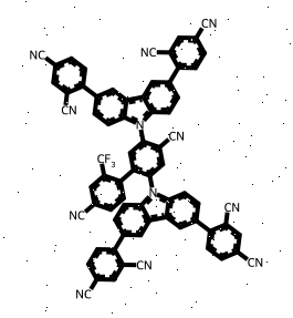 N#Cc1ccc(-c2ccc3c(c2)c2cc(-c4ccc(C#N)cc4C#N)ccc2n3-c2cc(-c3ccc(C#N)cc3C(F)(F)F)c(-n3c4ccc(-c5ccc(C#N)cc5C#N)cc4c4cc(-c5ccc(C#N)cc5C#N)ccc43)cc2C#N)c(C#N)c1